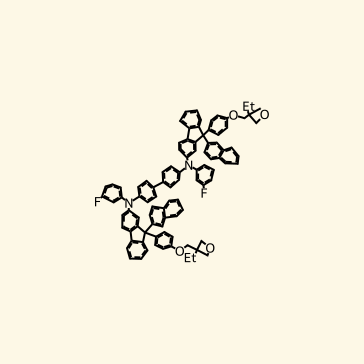 CCC1(COc2ccc(C3(c4ccc5ccccc5c4)c4ccccc4-c4ccc(N(c5ccc(-c6ccc(N(c7cccc(F)c7)c7ccc8c(c7)C(c7ccc(OCC9(CC)COC9)cc7)(c7ccc9ccccc9c7)c7ccccc7-8)cc6)cc5)c5cccc(F)c5)cc43)cc2)COC1